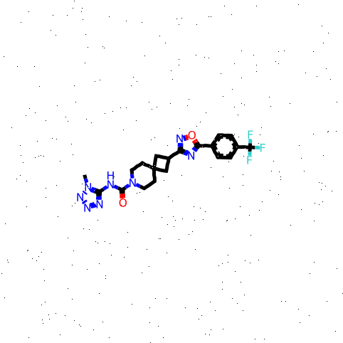 Cn1nnnc1NC(=O)N1CCC2(CC1)CC(c1noc(-c3ccc(C(F)(F)F)cc3)n1)C2